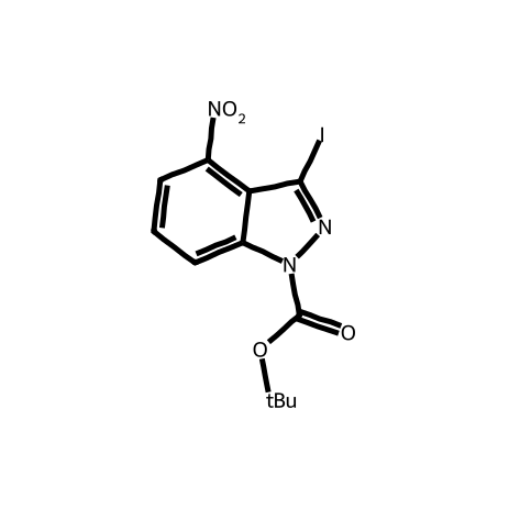 CC(C)(C)OC(=O)n1nc(I)c2c([N+](=O)[O-])cccc21